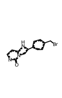 O=c1nccc2[nH]c(-c3ccc(CBr)cc3)cn12